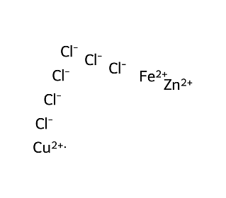 [Cl-].[Cl-].[Cl-].[Cl-].[Cl-].[Cl-].[Cu+2].[Fe+2].[Zn+2]